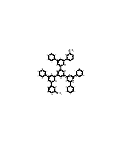 Cc1cccc(-c2cc(-c3ccccc3)cc(-c3cc(-c4cc(-c5ccccc5)cc(-c5cccc(C)c5)c4)cc(-c4cc(-c5ccccc5)nc(-c5ccccc5)n4)c3)c2)c1